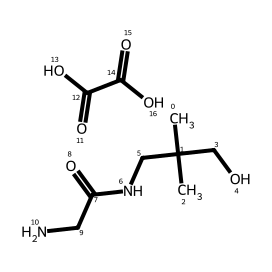 CC(C)(CO)CNC(=O)CN.O=C(O)C(=O)O